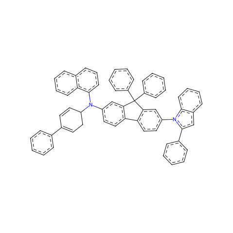 C1=CC(N(c2ccc3c(c2)C(c2ccccc2)(c2ccccc2)c2cc(-n4c(-c5ccccc5)cc5ccccc54)ccc2-3)c2cccc3ccccc23)CC=C1c1ccccc1